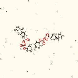 C=C[Si](C)(C=C)c1ccc(C(=O)OOC(=O)OC2CCC(CC3CCC(OC(=O)OOC(=O)c4ccc([Si](C)(C=C)C=C)cc4)CC3)CC2)cc1